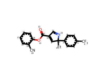 CCC1(c2ccc(C(F)(F)F)cc2)C=C(C(=O)Oc2ccccc2C#N)C=N1